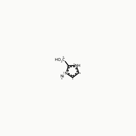 O=C(O)c1ncc[nH]1.[Ni]